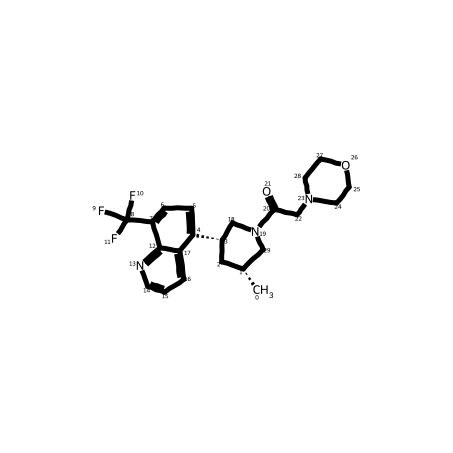 C[C@@H]1C[C@H](c2ccc(C(F)(F)F)c3ncccc23)CN(C(=O)CN2CCOCC2)C1